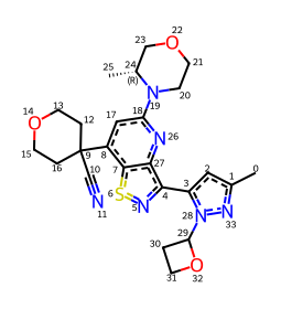 Cc1cc(-c2nsc3c(C4(C#N)CCOCC4)cc(N4CCOC[C@H]4C)nc23)n(C2CCO2)n1